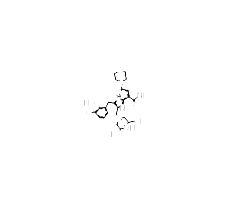 Cc1c(Cc2c(CN3CC(C)NC(C)C3)nc3c(C(N)=O)cc(N4CCOCC4)nn23)cccc1C(F)(F)F